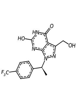 C[C@@H](c1ccc(C(F)(F)F)cc1)n1nc(CO)c2c(=O)[nH]c(O)nc21